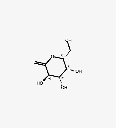 C=C1O[C@H](CO)[C@H](O)[C@H](O)[C@H]1O